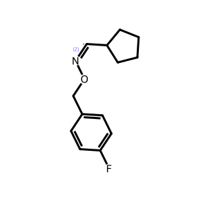 Fc1ccc(CO/N=[C]\C2CCCC2)cc1